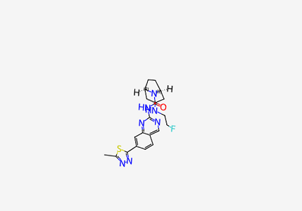 Cc1nnc(-c2ccc3cnc(NC(=O)N4[C@@H]5CC[C@H]4CC(NCCF)C5)nc3c2)s1